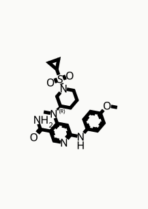 COc1ccc(Nc2cc(N(C)[C@@H]3CCCN(S(=O)(=O)C4CC4)C3)c(C(N)=O)cn2)cc1